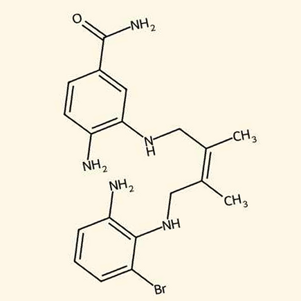 CC(CNc1cc(C(N)=O)ccc1N)=C(C)CNc1c(N)cccc1Br